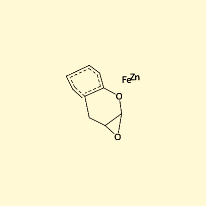 [Fe].[Zn].c1ccc2c(c1)CC1OC1O2